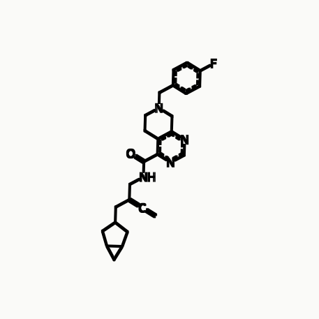 C=C=C(CNC(=O)c1ncnc2c1CCN(Cc1ccc(F)cc1)C2)CC1CC2CC2C1